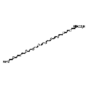 CNCCOCCOCCOCCOCCOCCOCCOCCOCCOCCOCCNC(=O)O